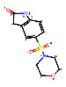 O=C1Cc2cc(S(=O)(=O)N3CCOCC3)ccc2N1